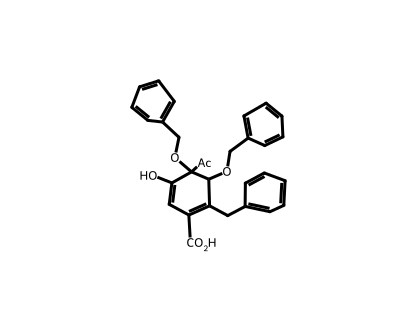 CC(=O)C1(OCc2ccccc2)C(O)=CC(C(=O)O)=C(Cc2ccccc2)C1OCc1ccccc1